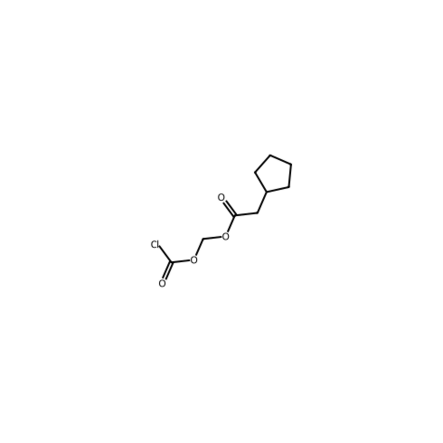 O=C(Cl)OCOC(=O)CC1CCCC1